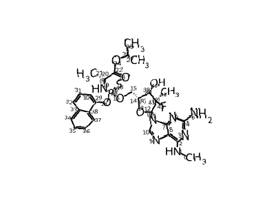 CNc1nc(N)nc2c1ncn2[C@@H]1O[C@H](CO[P@](=S)(N[C@H](C)C(=O)OC(C)C)Oc2cccc3ccccc23)[C@@H](O)[C@@]1(C)F